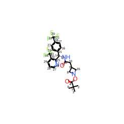 CC(C)(C)C(=O)ON1CC(CC(=O)N[C@@H](c2ccc(C(F)(F)F)cc2)c2ncccc2C(F)(F)F)C1